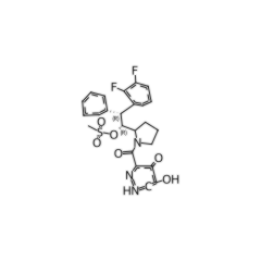 CS(=O)(=O)O[C@@H](C1CCCN1C(=O)c1n[nH]cc(O)c1=O)[C@H](c1ccccc1)c1cccc(F)c1F